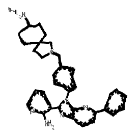 Nc1ncccc1-c1nc2ccc(-c3ccccc3)nc2n1-c1ccc(CN2CCC3(CCC(N)CC3)C2)cc1